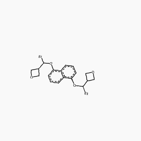 CCC(Oc1cccc2c(OC(CC)C3COC3)cccc12)C1COC1